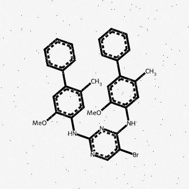 COc1cc(-c2ccccc2)c(C)cc1Nc1ncc(Br)c(Nc2cc(C)c(-c3ccccc3)cc2OC)n1